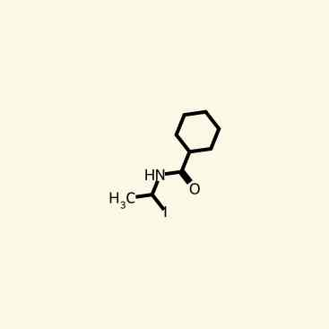 CC(I)NC(=O)C1CCCCC1